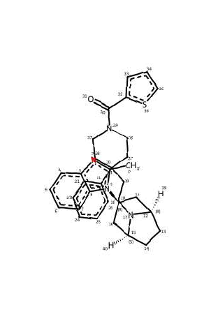 Cc1nc2ccccc2n1[C@H]1C[C@H]2CC[C@@H](C1)N2CCC1(c2ccccc2)CCN(C(=O)c2cccs2)CC1